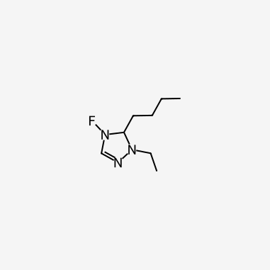 CCCCC1N(F)C=NN1CC